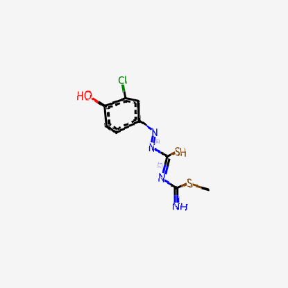 CSC(=N)/N=C(S)/N=N/c1ccc(O)c(Cl)c1